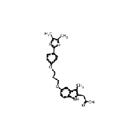 Cc1nc(-c2ccc(OCCCOc3ccc4[nH]c(CC(=O)O)c(C)c4c3)cc2)sc1C